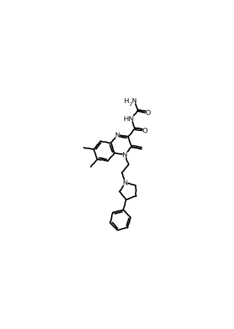 C=C1C(C(=O)NC(N)=O)=Nc2cc(C)c(C)cc2N1CCN1CCC(c2ccccc2)C1